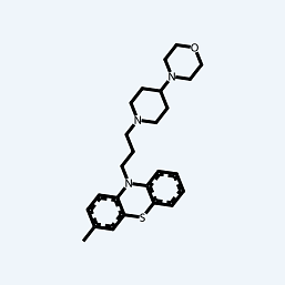 Cc1ccc2c(c1)Sc1ccccc1N2CCCN1CCC(N2CCOCC2)CC1